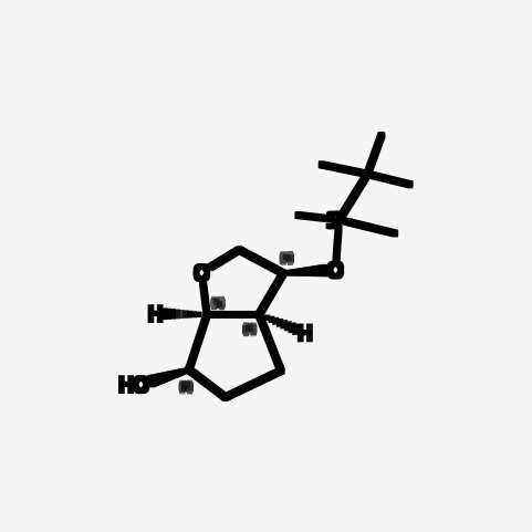 CC(C)(C)[Si](C)(C)O[C@@H]1CO[C@H]2[C@@H]1CC[C@H]2O